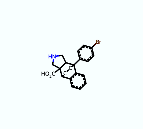 O=C(O)C12CNCC1C1(c3ccc(Br)cc3)CCC2c2ccccc21